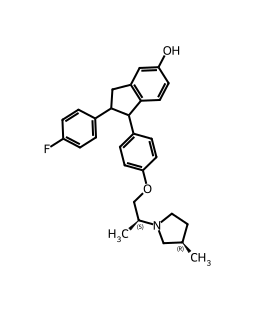 C[C@@H]1CCN([C@@H](C)COc2ccc(C3c4ccc(O)cc4CC3c3ccc(F)cc3)cc2)C1